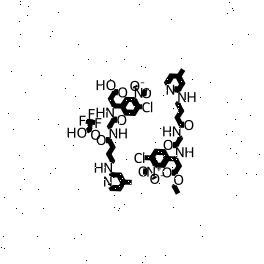 CCOC(=O)CC(NC(=O)CNC(=O)CCCNc1cc(C)ccn1)c1ccc(Cl)c([N+](=O)[O-])c1.Cc1ccnc(NCCCC(=O)NCC(=O)NC(CC(=O)O)c2ccc(Cl)c([N+](=O)[O-])c2)c1.O=C(O)C(F)(F)F